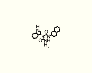 NC(=O)[C@@H](C(=O)Nc1ccc2ccccc2c1)c1c[nH]c2ccccc12